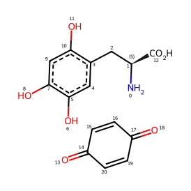 N[C@@H](Cc1cc(O)c(O)cc1O)C(=O)O.O=C1C=CC(=O)C=C1